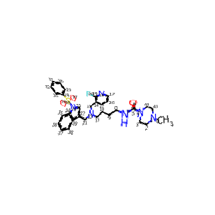 CN1CCN(C(=O)NCCCCN(Cc2cccnc2F)Cc2cn(S(=O)(=O)c3ccccc3)c3ccccc23)CC1